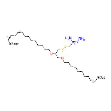 CCCCC/C=C\C/C=C\CCCCCCCCOC(COCCCCCCCC/C=C\CCCCCCCC)CSSC/C(N)=C/N